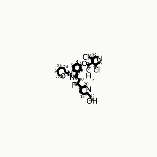 CC(Oc1ccc2c(c1)c(/C=C(\F)c1ccc(CO)nc1)nn2C1CCCCO1)c1c(Cl)cncc1Cl